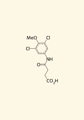 COc1c(Cl)cc(NC(=O)CCC(=O)O)cc1Cl